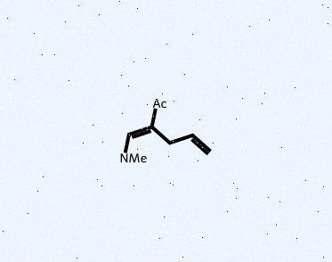 C=CC/C(=C\NC)C(C)=O